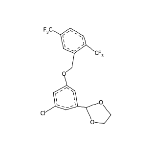 FC(F)(F)c1ccc(C(F)(F)F)c(COc2cc(Cl)cc(C3OCCO3)c2)c1